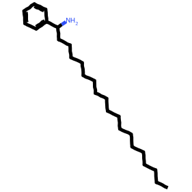 CCCCCCCCCCCCCCCCCCC(N)c1ccccc1